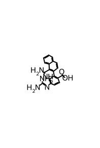 N=C(N)c1c(-c2cc(N=C(N)N)ccc2C(=O)O)ccc2ccccc12